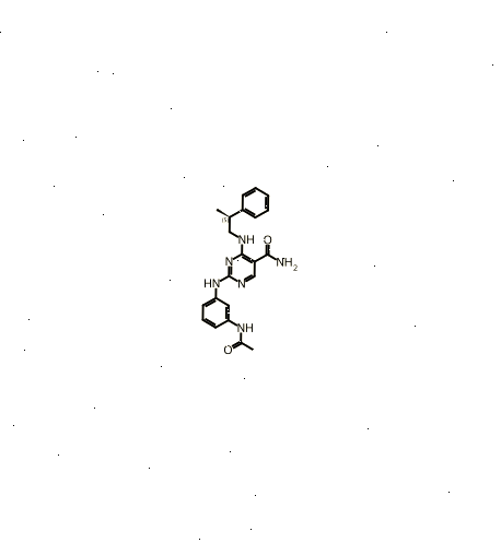 CC(=O)Nc1cccc(Nc2ncc(C(N)=O)c(NC[C@@H](C)c3ccccc3)n2)c1